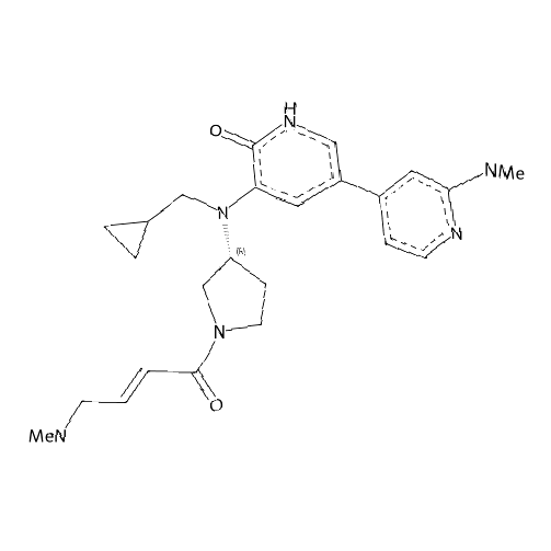 CNCC=CC(=O)N1CC[C@@H](N(CC2CC2)c2cc(-c3ccnc(NC)c3)c[nH]c2=O)C1